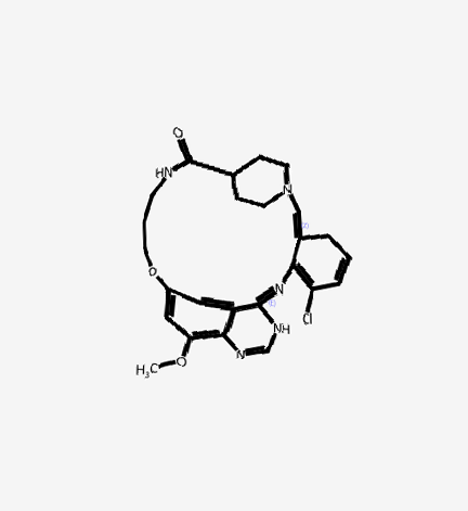 COc1cc2cc3c1N=CN/C3=N/C1=C(Cl)C=CC/C1=C/N1CCC(CC1)C(=O)NCCCO2